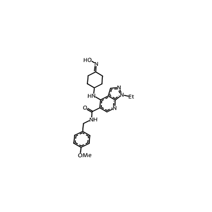 CCn1ncc2c(NC3CCC(=NO)CC3)c(C(=O)NCc3ccc(OC)cc3)cnc21